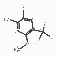 COc1nc(N)c(Cl)cc1C(F)(F)F